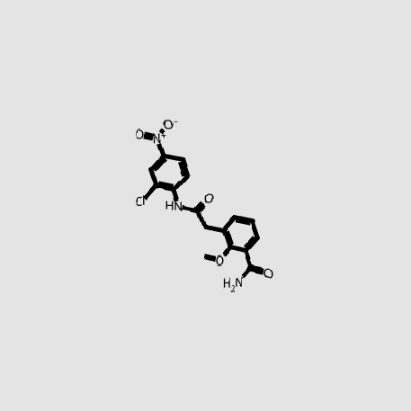 COc1c(CC(=O)Nc2ccc([N+](=O)[O-])cc2Cl)cccc1C(N)=O